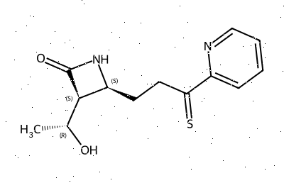 C[C@@H](O)[C@H]1C(=O)N[C@H]1CCC(=S)c1ccccn1